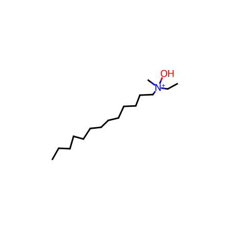 CCCCCCCCCCCCC[N+](C)(O)CC